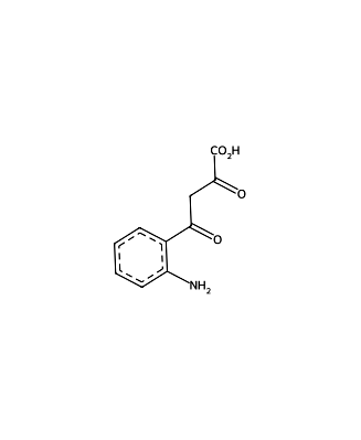 Nc1ccccc1C(=O)CC(=O)C(=O)O